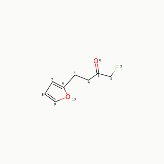 O=C(CF)CCc1ccco1